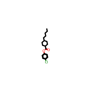 CCCCCC1CCC(C(=O)Oc2ccc(Cl)cc2)CC1